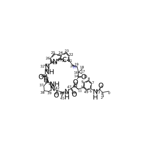 CC(C)C(=O)Nc1cccc(C[C@@H]2OC(=O)C(C)(C)/C=C/c3ccc4ccc(nc4c3)N(C)NC(=O)[C@@H]3CCCN(N3)C(=O)[C@H](C)NC2=O)c1